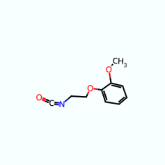 COc1ccccc1OCCN=C=O